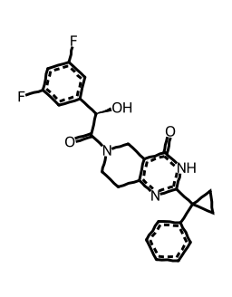 O=C([C@H](O)c1cc(F)cc(F)c1)N1CCc2nc(C3(c4ccccc4)CC3)[nH]c(=O)c2C1